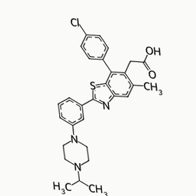 Cc1cc2nc(-c3cccc(N4CCN(C(C)C)CC4)c3)sc2c(-c2ccc(Cl)cc2)c1CC(=O)O